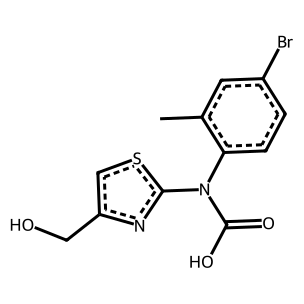 Cc1cc(Br)ccc1N(C(=O)O)c1nc(CO)cs1